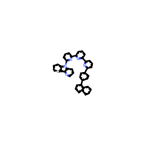 c1cc(-c2ccc(-c3cccc4ccccc34)cc2)nc(-c2cccc(-c3cccc(-n4c5ccccc5c5ncccc54)n3)n2)c1